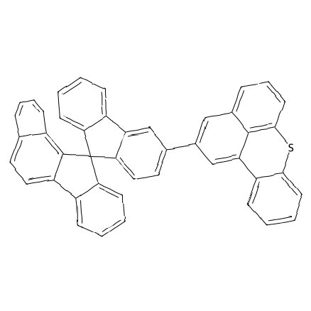 c1ccc2c(c1)Sc1cccc3cc(-c4ccc5c(c4)-c4ccccc4C54c5ccccc5-c5ccc6ccccc6c54)cc-2c13